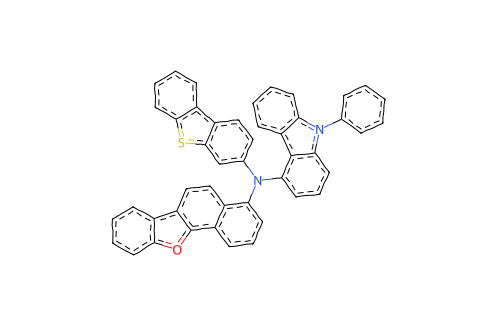 c1ccc(-n2c3ccccc3c3c(N(c4ccc5c(c4)sc4ccccc45)c4cccc5c4ccc4c6ccccc6oc54)cccc32)cc1